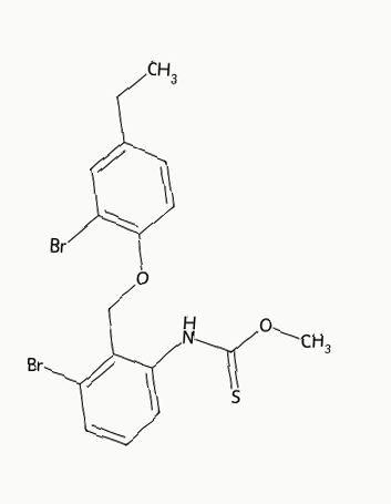 CCc1ccc(OCc2c(Br)cccc2NC(=S)OC)c(Br)c1